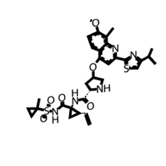 C=C[C@@H]1C[C@]1(NC(=O)[C@@H]1CC(Oc2cc(-c3nc(C(C)C)cs3)nc3c(C)c(OC)ccc23)CN1)C(=O)NS(=O)(=O)C1(C)CC1